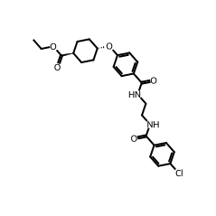 CCOC(=O)[C@H]1CC[C@H](Oc2ccc(C(=O)NCCNC(=O)c3ccc(Cl)cc3)cc2)CC1